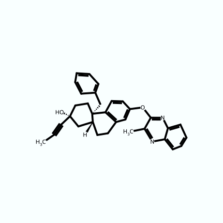 CC#C[C@@]1(O)CC[C@@]2(Cc3ccccc3)c3ccc(Oc4nc5ccccc5nc4C)cc3CC[C@@H]2C1